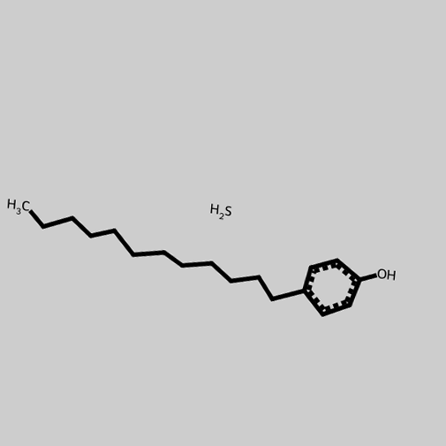 CCCCCCCCCCCCc1ccc(O)cc1.S